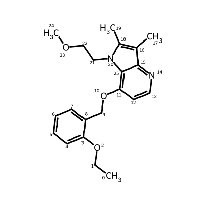 CCOc1ccccc1COc1ccnc2c(C)c(C)n(CCOC)c12